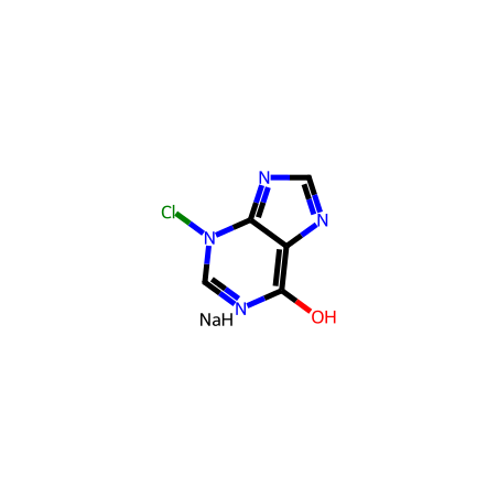 Oc1ncn(Cl)c2ncnc1-2.[NaH]